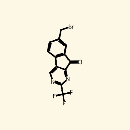 O=C1c2cc(CBr)ccc2-c2cnc(C(F)(F)F)nc21